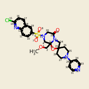 COCC12CN(S(=O)(=O)c3ccc4nc(Cl)ccc4c3)CC(=O)N1CC1(CCN(c3ccncc3)CC1)O2